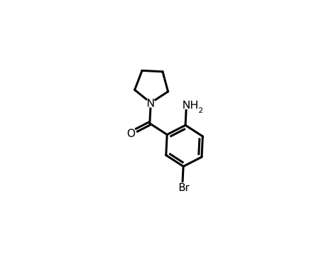 Nc1ccc(Br)cc1C(=O)N1CCCC1